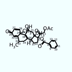 CC(=O)OCC(=O)[C@@]1(OC(=O)c2ccccc2)CC[C@H]2C3=C(C(O)C[C@@]21C)[C@@]1(C)C=CC(=O)C=C1C(C)C3